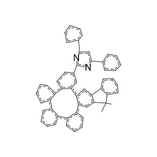 CC1(C)c2ccccc2-c2cc3c4cc(-c5nc(-c6ccccc6)cc(-c6ccccc6)n5)ccc4c4ccccc4c4ccccc4c4ccccc4c3cc21